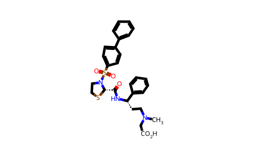 CN(CC[C@H](NC(=O)[C@@H]1SCCN1S(=O)(=O)c1ccc(-c2ccccc2)cc1)c1ccccc1)CC(=O)O